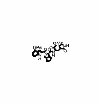 COCC(=O)C(CC1CCNC1=O)NC(=O)C1C2CCCC2CN1C(=O)c1cc2c(OC)cccc2[nH]1